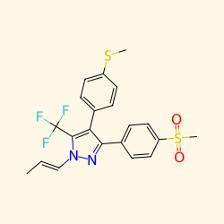 CC=Cn1nc(-c2ccc(S(C)(=O)=O)cc2)c(-c2ccc(SC)cc2)c1C(F)(F)F